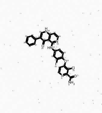 NC(=O)c1nccc(Oc2ccc(Nc3nccc4[nH]cc(-c5ccccc5)c(=O)c34)cc2F)c1Cl